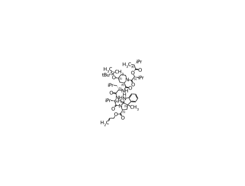 C=CCOC(=O)[C@@H]1C[C@@]2(C)c3ccccc3N[C@H]2N1C(=O)[C@H](NC(=O)[C@H](CC(C)C)NC(=O)[C@H]1C[C@@H](O[Si](C)(C)C(C)(C)C)CCN1C(=O)[C@@H](OC(=O)[C@H](C)C(C)C)C(C)C)C(C)C